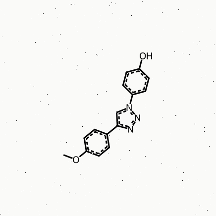 COc1ccc(-c2cn(-c3ccc(O)cc3)nn2)cc1